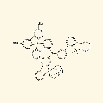 CC(C)(C)c1ccc2c(c1)-c1cc(C(C)(C)C)ccc1C21c2ccccc2-c2c(N(c3cccc(-c4cccc5c4C(C)(C)c4ccccc4-5)c3)c3ccc4c(c3)C3(c5ccccc5-4)C4CC5CC(C4)CC3C5)cccc21